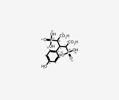 O=C(O)C(C(c1ccc(O)cc1)C(C(=O)O)P(=O)(O)O)P(=O)(O)O